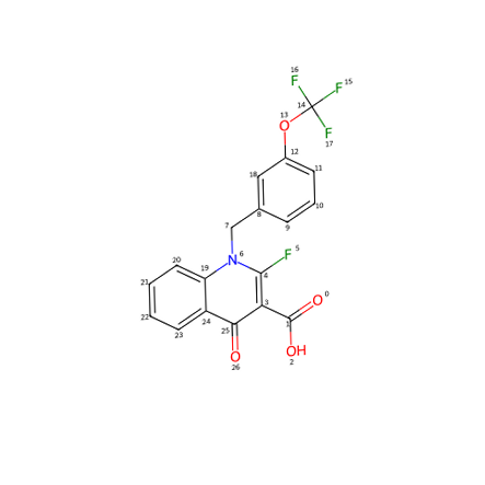 O=C(O)c1c(F)n(Cc2cccc(OC(F)(F)F)c2)c2ccccc2c1=O